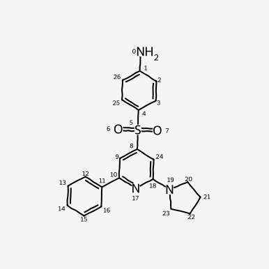 Nc1ccc(S(=O)(=O)c2cc(-c3ccccc3)nc(N3CCCC3)c2)cc1